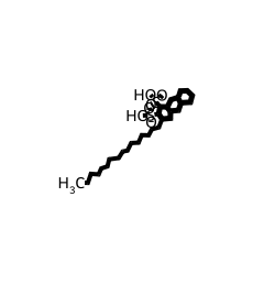 CCCCCCCCCCCCCCCCc1cc2cc3ccccc3cc2c(S(=O)(=O)O)c1S(=O)(=O)O